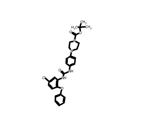 CC(C)(C)OC(=O)N1CCN(c2ccc(NC(=O)Nc3cc(Cl)ccc3Oc3ccccc3)cc2)CC1